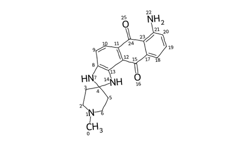 CN1CCC2(CC1)Nc1ccc3c(c1N2)C(=O)c1cccc(N)c1C3=O